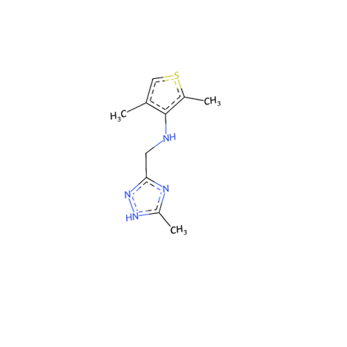 Cc1nc(CNc2c(C)csc2C)n[nH]1